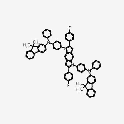 CC1(C)c2ccccc2-c2ccc(N(c3ccccc3)c3ccc(-n4c(-c5ccc(F)cc5)cc5cc6c(cc(-c7ccc(F)cc7)n6-c6ccc(N(c7ccccc7)c7ccc8c(c7)C(C)(C)c7ccccc7-8)cc6)cc54)cc3)cc21